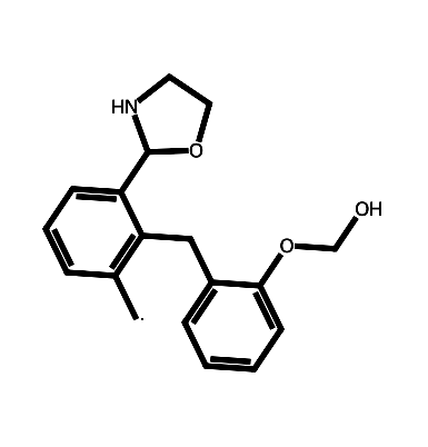 [CH2]c1cccc(C2NCCO2)c1Cc1ccccc1OCO